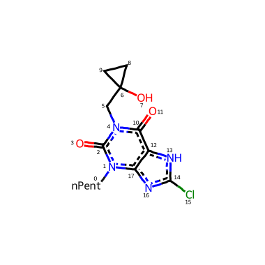 CCCCCn1c(=O)n(CC2(O)CC2)c(=O)c2[nH]c(Cl)nc21